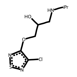 CC(C)NCC(O)COc1nsnc1Cl